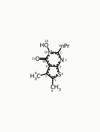 CCCc1nc2sc(C)c(C)c2c(=O)n1O